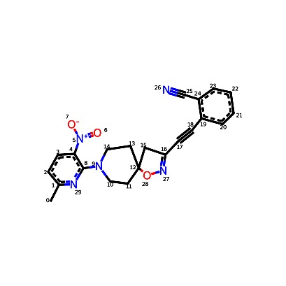 Cc1ccc([N+](=O)[O-])c(N2CCC3(CC2)CC(C#Cc2ccccc2C#N)=NO3)n1